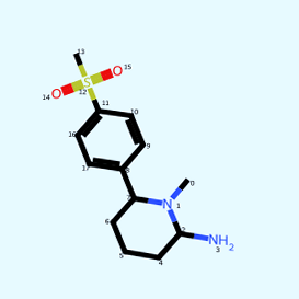 CN1C(N)CCCC1c1ccc(S(C)(=O)=O)cc1